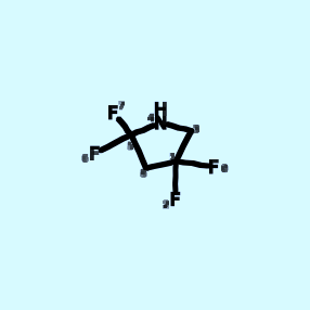 FC1(F)CNC(F)(F)C1